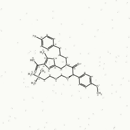 COc1ccc([C@@H](OCOCC[Si](C)(C)C)C(=O)N(CCCc2ccc(F)cc2)Cc2nc(C(=O)O)c(C)s2)cc1